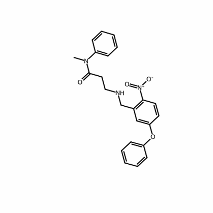 CN(C(=O)CCNCc1cc(Oc2ccccc2)ccc1[N+](=O)[O-])c1ccccc1